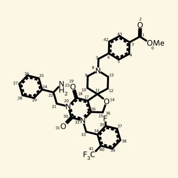 COC(=O)c1ccc(CN2CCC3(CC2)OCc2c3c(=O)n(CC(N)c3ccccc3)c(=O)n2Cc2c(F)cccc2C(F)(F)F)cc1